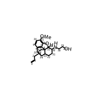 C=CCN1CC[C@@]23c4c5ccc(OC)c4O[C@@H]2C(NCCO)CCC3C1C5